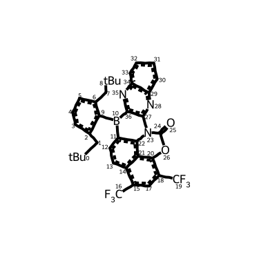 CC(C)(C)Cc1cccc(CC(C)(C)C)c1B1c2ccc3c(C(F)(F)F)cc(C(F)(F)F)c4c3c2N(C(=O)O4)c2nc3ccccc3nc21